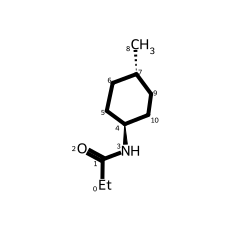 CCC(=O)N[C@H]1CC[C@H](C)CC1